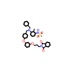 Cc1c(NS(C)(=O)=O)cccc1N(Cc1ccccc1)Cc1ccc(Oc2cccc(OCCCN3C(=O)c4ccccc4C3=O)c2)cc1